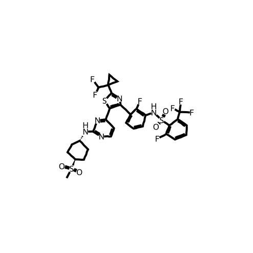 CS(=O)(=O)[C@H]1CC[C@H](Nc2nccc(-c3sc(C4(C(F)F)CC4)nc3-c3cccc(NS(=O)(=O)c4c(F)cccc4C(F)(F)F)c3F)n2)CC1